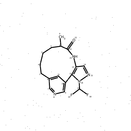 CC1CCCCc2cncc(c2)-c2c(cnn2C(F)F)NC1=O